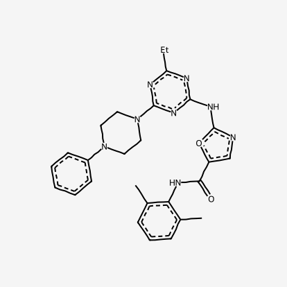 CCc1nc(Nc2ncc(C(=O)Nc3c(C)cccc3C)o2)nc(N2CCN(c3ccccc3)CC2)n1